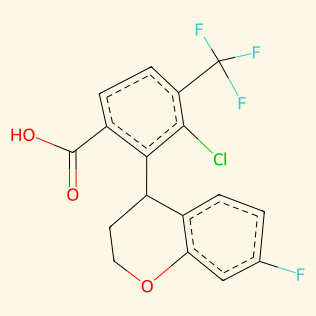 O=C(O)c1ccc(C(F)(F)F)c(Cl)c1C1CCOc2cc(F)ccc21